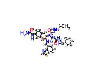 C=CCNCC(=O)N1[C@@H](NC(=O)NCc2ccccc2)CN(Cc2cccc3scnc23)C(=O)[C@@H]1Cc1ccc(NC(N)=O)cc1